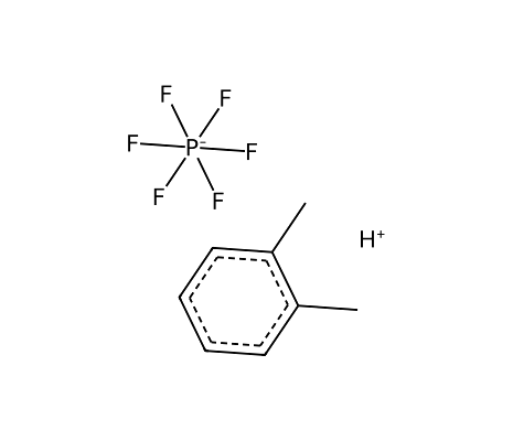 Cc1ccccc1C.F[P-](F)(F)(F)(F)F.[H+]